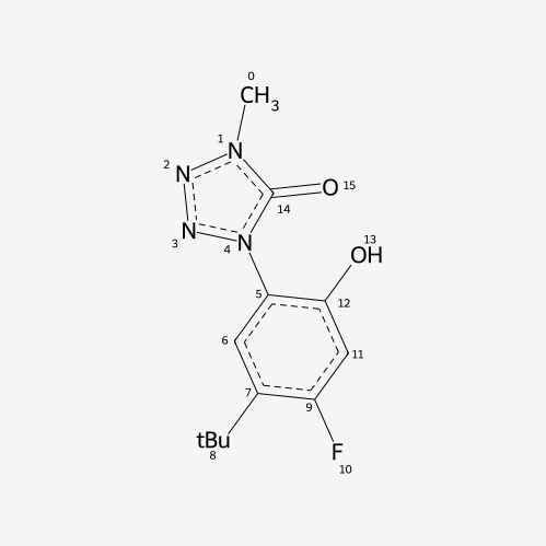 Cn1nnn(-c2cc(C(C)(C)C)c(F)cc2O)c1=O